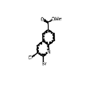 COC(=O)c1ccc2nc(Br)c(Cl)cc2c1